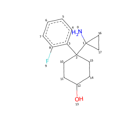 NC1(C2(c3ccccc3F)CCC(O)CC2)CC1